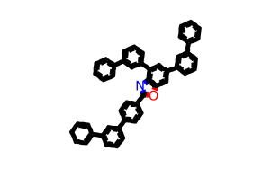 C1=CC(c2cccc(-c3ccc(-c4nc5c(-c6cccc(-c7ccccc7)c6)cc(-c6cccc(-c7ccccc7)c6)cc5o4)cc3)c2)=CCC1